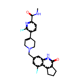 CNC(=O)c1ccc(C2=CCN(Cc3cc(F)c4c5c(c(=O)[nH]c4c3)CCC5)CC2)c(F)n1